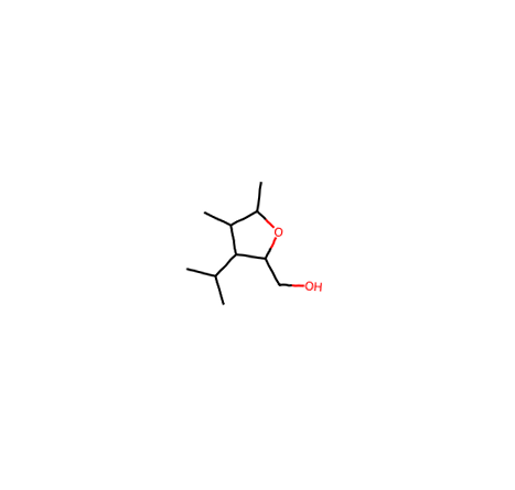 CC(C)C1C(CO)OC(C)C1C